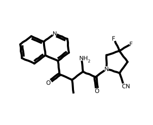 CC(C(=O)c1ccnc2ccccc12)C(N)C(=O)N1CC(F)(F)CC1C#N